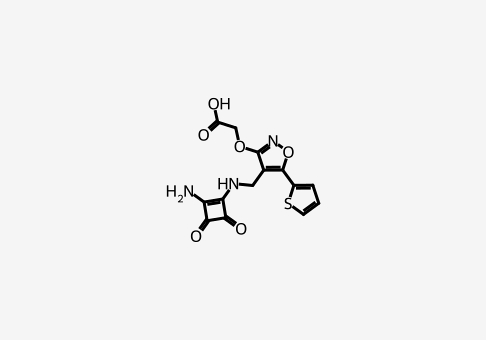 Nc1c(NCc2c(OCC(=O)O)noc2-c2cccs2)c(=O)c1=O